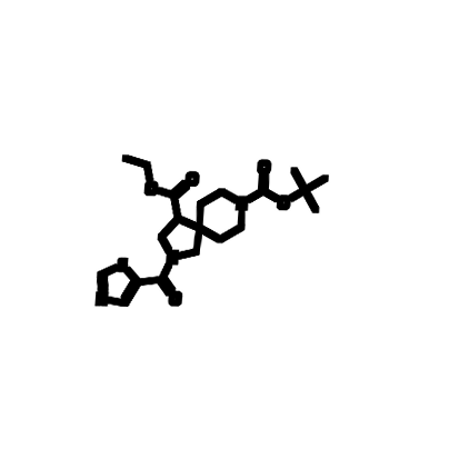 CCOC(=O)C1CN(C(=O)c2cncs2)CC12CCN(C(=O)OC(C)(C)C)CC2